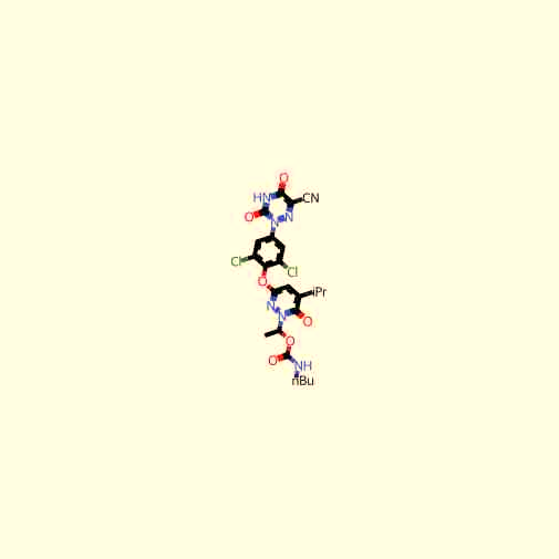 CCCCNC(=O)OC(C)n1nc(Oc2c(Cl)cc(-n3nc(C#N)c(=O)[nH]c3=O)cc2Cl)cc(C(C)C)c1=O